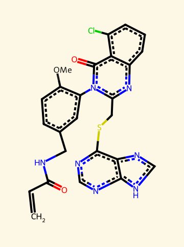 C=CC(=O)NCc1ccc(OC)c(-n2c(CSc3ncnc4[nH]cnc34)nc3cccc(Cl)c3c2=O)c1